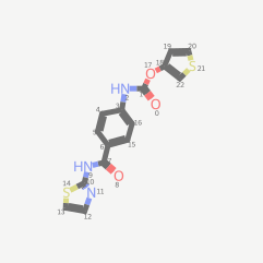 O=C(Nc1ccc(C(=O)Nc2nccs2)cc1)Oc1ccsc1